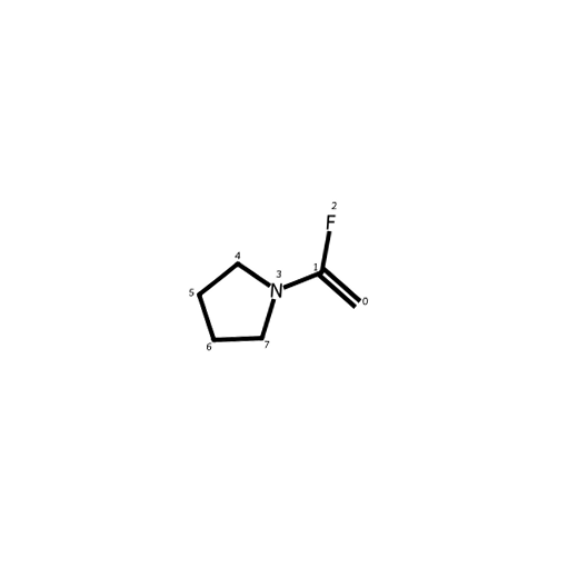 C=C(F)N1CCCC1